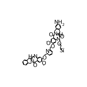 COc1cc2c(cc1OCc1cccc(COc3cc4c(cc3OC)C(=O)N3Cc5cc(N)ccc5C[C@H]3C(=O)N4COCC[Si](C)(C)C)n1)N=C[C@@H]1Cc3ccccc3CN1C2=O